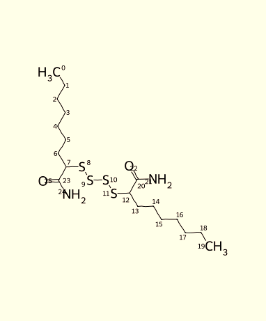 CCCCCCCC(SSSSC(CCCCCCC)C(N)=O)C(N)=O